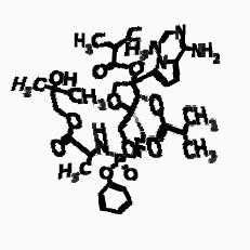 CC(C)C(=O)O[C@@H]1[C@@](CF)(CO[P@](=O)(N[C@@H](C)C(=O)OCC(C)(C)O)Oc2ccccc2)OC[C@]1(OC(=O)C(C)C)c1ccc2c(N)ncnn12